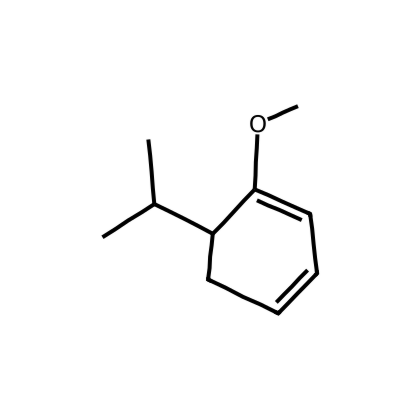 COC1=CC=CCC1C(C)C